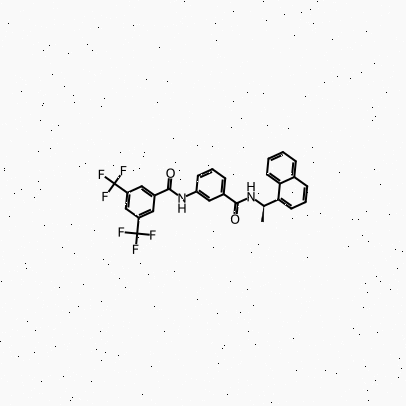 C[C@@H](NC(=O)c1cccc(NC(=O)c2cc(C(F)(F)F)cc(C(F)(F)F)c2)c1)c1cccc2ccccc12